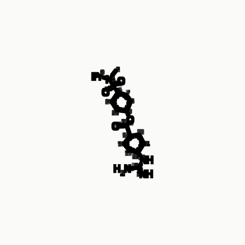 CC(C)N(C)S(=O)(=O)c1ccc(OC(=O)c2ccc(NC(=N)N)cc2)cc1